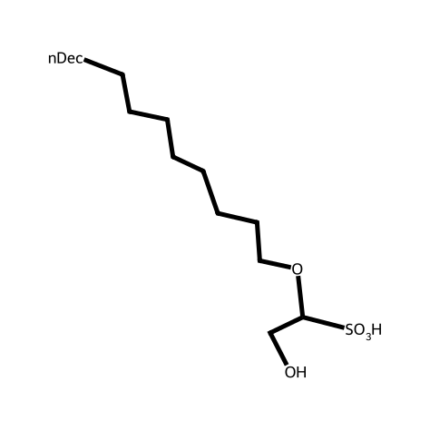 CCCCCCCCCCCCCCCCCCOC(CO)S(=O)(=O)O